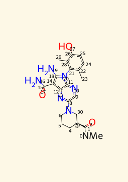 CNC(=O)[C@H]1CCCN(c2cnc3c(n2)c(C(N)=O)c(N)n3-c2c(C)ccc(O)c2C)C1